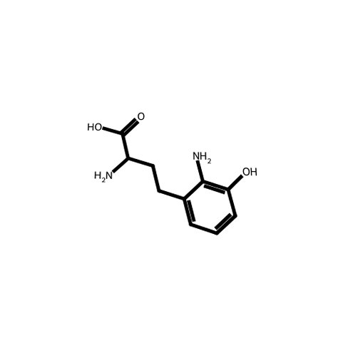 Nc1c(O)cccc1CCC(N)C(=O)O